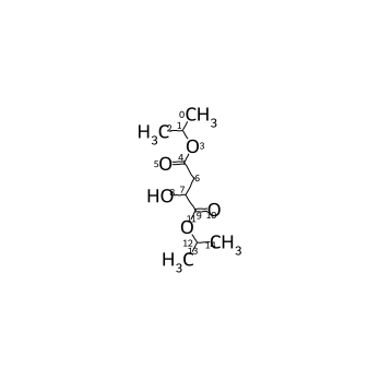 CC(C)OC(=O)CC(O)C(=O)OC(C)C